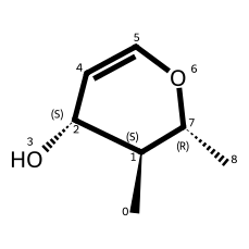 C[C@H]1[C@H](O)C=CO[C@@H]1C